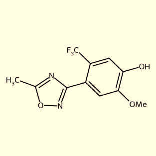 COc1cc(-c2noc(C)n2)c(C(F)(F)F)cc1O